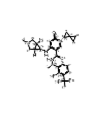 C[C@@H](NC(=O)c1cn([C@@H]2CC23CC3)c(=O)cc1N[C@H]1[C@@H]2CN(C)C[C@@H]21)c1cccc(C(C)(F)F)c1F